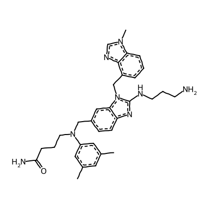 Cc1cc(C)cc(N(CCCC(N)=O)Cc2ccc3nc(NCCCN)n(Cc4cccc5c4ncn5C)c3c2)c1